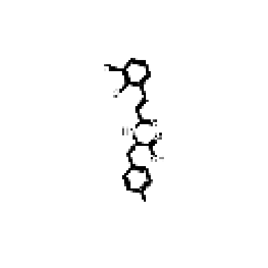 O=C(C=Cc1cccc(Cl)c1Cl)NC(Cc1ccc(I)cc1)C(=O)O